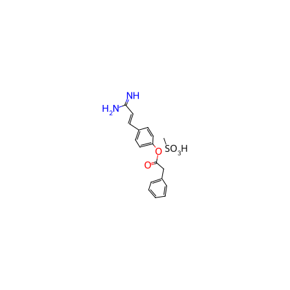 CS(=O)(=O)O.N=C(N)C=Cc1ccc(OC(=O)Cc2ccccc2)cc1